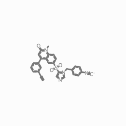 [C-]#[N+]c1ccc(Cn2cncc2S(=O)(=O)c2ccc3c(c2)c(-c2cccc(C#C)c2)cc(=O)n3C)cc1